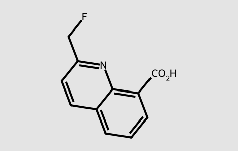 O=C(O)c1cccc2ccc(CF)nc12